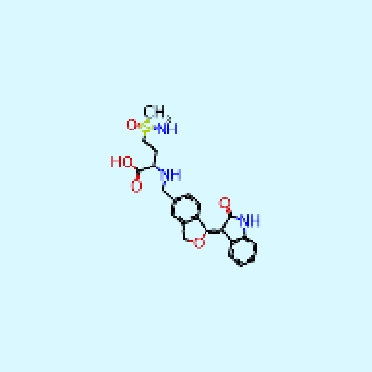 CS(=N)(=O)CCC(NCc1ccc2c(c1)COC2=C1C(=O)Nc2ccccc21)C(=O)O